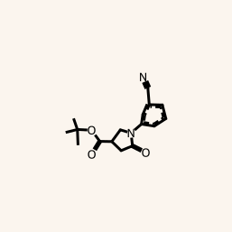 CC(C)(C)OC(=O)C1CC(=O)N(c2cccc(C#N)c2)C1